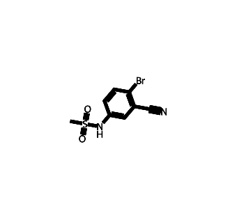 CS(=O)(=O)Nc1ccc(Br)c(C#N)c1